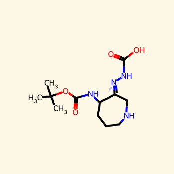 CC(C)(C)OC(=O)NC1CCCNC/C1=N\NC(=O)O